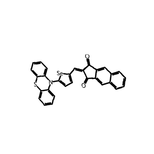 O=C1C(=Cc2ccc(N3c4ccccc4Sc4ccccc43)[se]2)C(=O)c2cc3ccccc3cc21